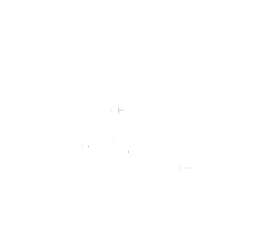 C[S+](C)[O-].OCCc1ccccc1